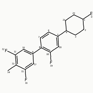 CCC1CCC(c2ccc(-c3cc(F)c(C)c(F)c3)c(F)c2)CC1